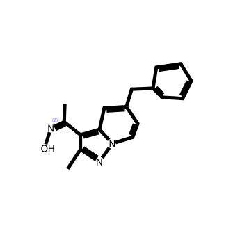 C/C(=N/O)c1c(C)nn2ccc(Cc3ccccc3)cc12